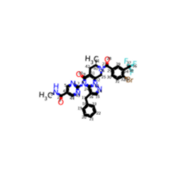 CNC(=O)c1cnc(-n2c(=O)c3c(n4ncc(Cc5ccccc5)c24)CN(C(=O)c2ccc(Br)c(C(F)(F)F)c2)[C@@H](C)C3)nc1